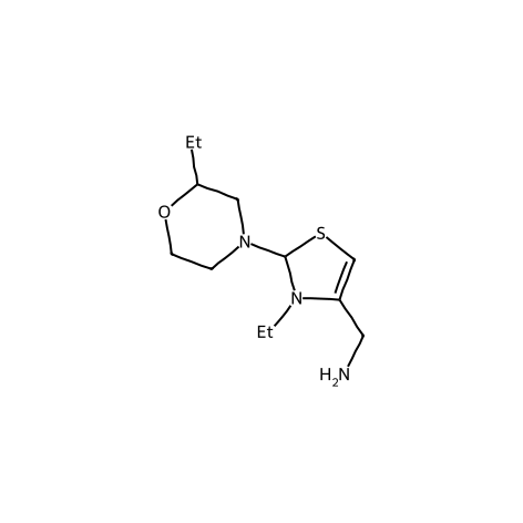 CCC1CN(C2SC=C(CN)N2CC)CCO1